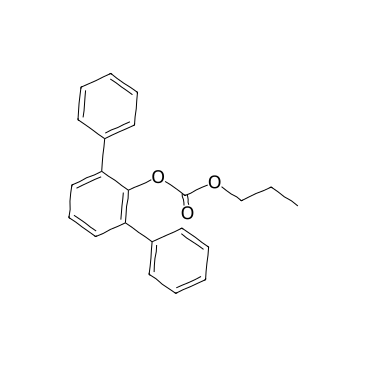 CCCOC(=O)Oc1c(-c2ccccc2)cccc1-c1ccccc1